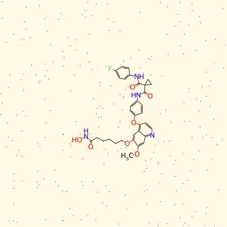 COc1cc2nccc(Oc3ccc(NC(=O)C4(C(=O)Nc5ccc(F)cc5)CC4)cc3)c2cc1OCCCCCC(=O)NO